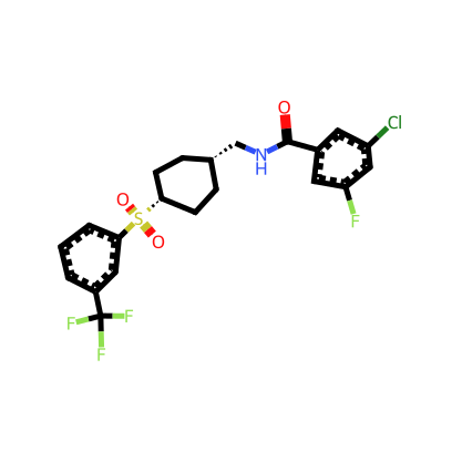 O=C(NC[C@H]1CC[C@@H](S(=O)(=O)c2cccc(C(F)(F)F)c2)CC1)c1cc(F)cc(Cl)c1